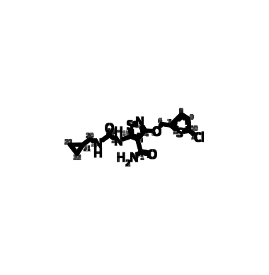 NC(=O)c1c(OCc2ccc(Cl)s2)nsc1NC(=O)NCC1CC1